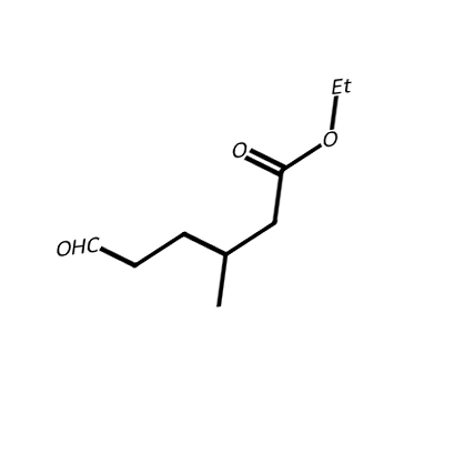 CCOC(=O)CC(C)CCC=O